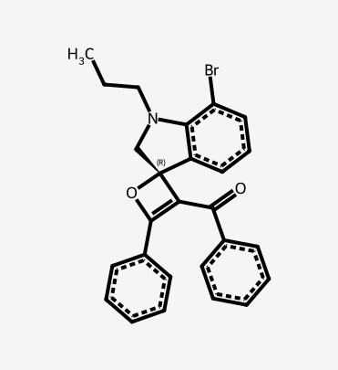 CCCN1C[C@@]2(OC(c3ccccc3)=C2C(=O)c2ccccc2)c2cccc(Br)c21